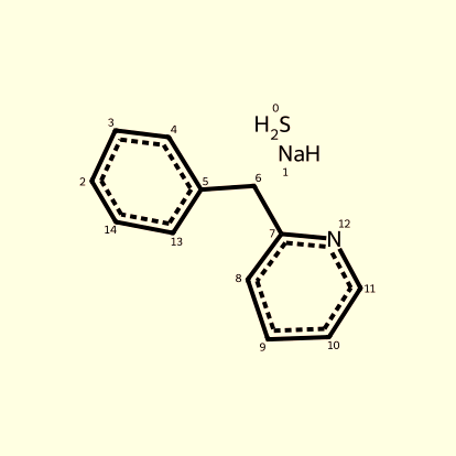 S.[NaH].c1ccc(Cc2ccccn2)cc1